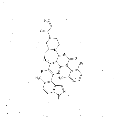 C=CC(=O)N1CCN2c3nc(=O)n(-c4c(C)cccc4C(C)C)c4nc(-c5c(C)ccc6[nH]ncc56)c(F)c(c34)OCC2C1